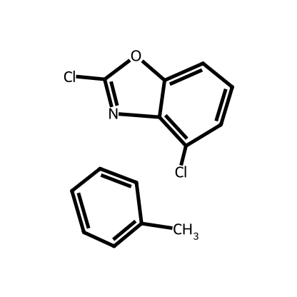 Cc1ccccc1.Clc1nc2c(Cl)cccc2o1